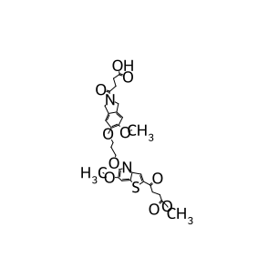 COC(=O)CCC(=O)c1cc2nc(OCCCOc3cc4c(cc3OC)CN(C(=O)CCC(=O)O)C4)c(OC)cc2s1